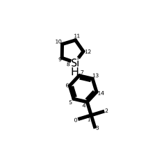 CC(C)(C)c1ccc([SiH]2CCCC2)cc1